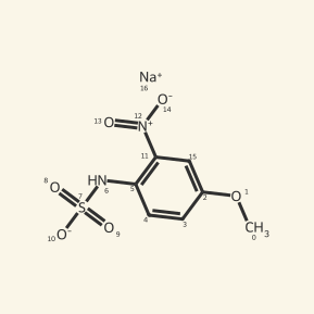 COc1ccc(NS(=O)(=O)[O-])c([N+](=O)[O-])c1.[Na+]